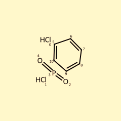 Cl.Cl.O=[P]=O.c1ccccc1